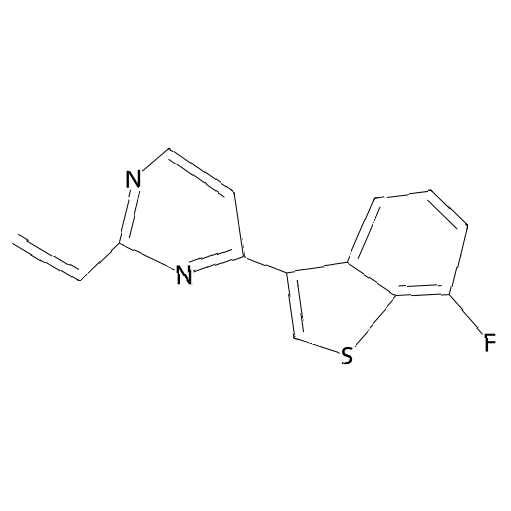 C=Cc1nccc(-c2csc3c(F)cccc23)n1